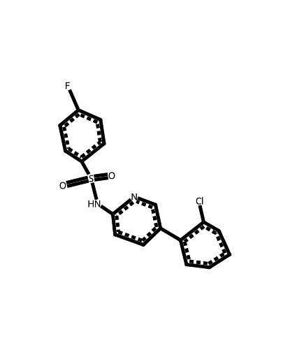 O=S(=O)(Nc1ccc(-c2ccccc2Cl)cn1)c1ccc(F)cc1